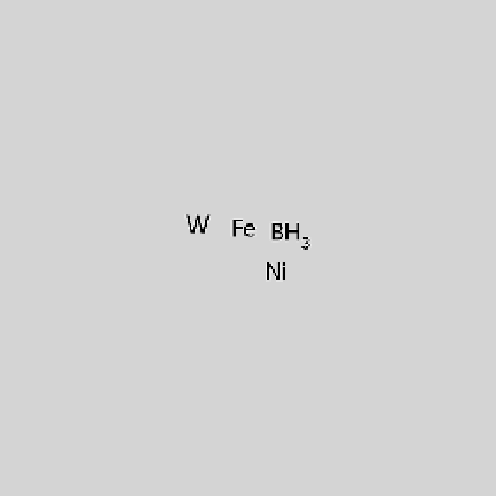 B.[Fe].[Ni].[W]